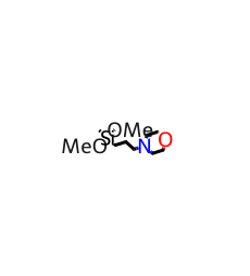 CO[Si](C)(CCCN1CCOCC1)OC